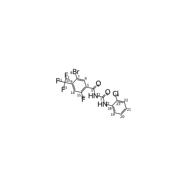 O=C(NC(=O)c1cc(Br)c(C(F)(F)F)cc1F)Nc1ccccc1Cl